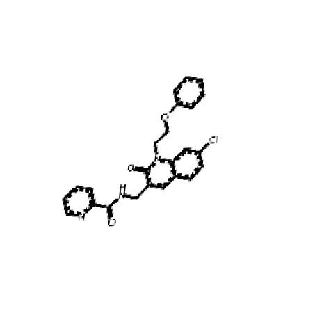 O=C(NCc1cc2ccc(Cl)cc2n(CCOc2ccccc2)c1=O)c1ccccn1